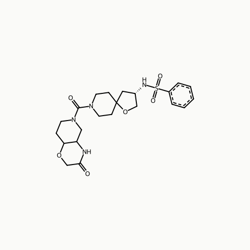 O=C1COC2CCN(C(=O)N3CCC4(CC3)C[C@H](NS(=O)(=O)c3ccccc3)CO4)CC2N1